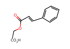 O=C(O)COC(=O)C=Cc1ccccc1